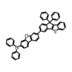 c1ccc(N(c2ccccc2)c2ccc3c(c2)oc2cc(-c4ccc5c(c4)-c4sc6ccccc6c4C5(c4ccccc4)c4ccccc4)ccc23)cc1